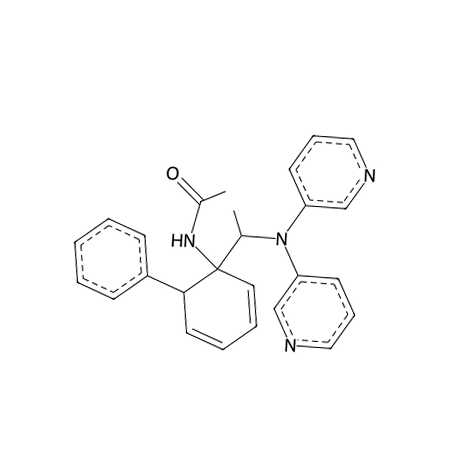 CC(=O)NC1(C(C)N(c2cccnc2)c2cccnc2)C=CC=CC1c1ccccc1